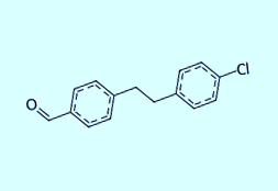 O=Cc1ccc(CCc2ccc(Cl)cc2)cc1